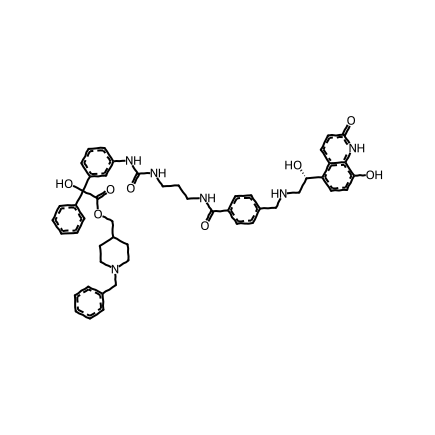 O=C(NCCCNC(=O)c1ccc(CNC[C@H](O)c2ccc(O)c3[nH]c(=O)ccc23)cc1)Nc1cccc(C(O)(C(=O)OCC2CCN(Cc3ccccc3)CC2)c2ccccc2)c1